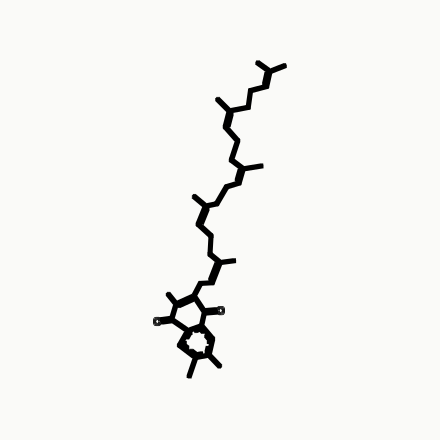 CC(C)=CCCC(C)=CCCC(C)=CCCC(C)=CCCC(C)=CCC1=C(C)C(=O)c2cc(C)c(C)cc2C1=O